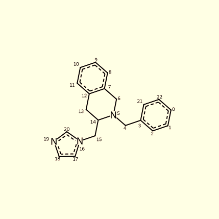 c1ccc(CN2Cc3ccccc3CC2Cn2ccnc2)cc1